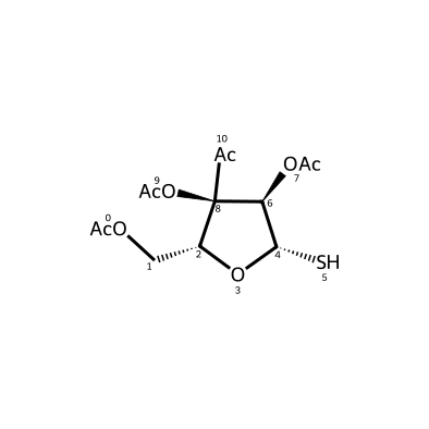 CC(=O)OC[C@H]1O[C@@H](S)[C@H](OC(C)=O)[C@@]1(OC(C)=O)C(C)=O